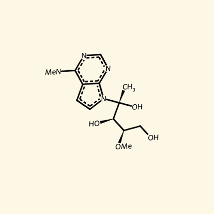 CNc1ncnc2c1ccn2[C@](C)(O)[C@H](O)[C@@H](CO)OC